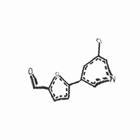 O=Cc1ccc(-c2cncc(Cl)c2)o1